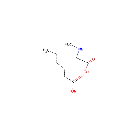 CCCCCC(=O)O.CNCC(=O)O